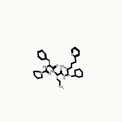 CCC[C@H](NC(=O)[C@H](Cc1ccccc1)NC(=O)N1CCCCC1)C(=O)N[C@@H](CC1CCCCC1)[C@@H](O)CCCc1ccccn1